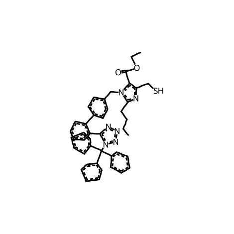 CCCCc1nc(CS)c(C(=O)OCC)n1Cc1ccc(-c2ccccc2-c2nnnn2C(c2ccccc2)(c2ccccc2)c2ccccc2)cc1